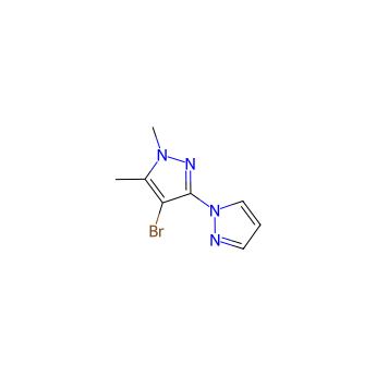 Cc1c(Br)c(-n2cccn2)nn1C